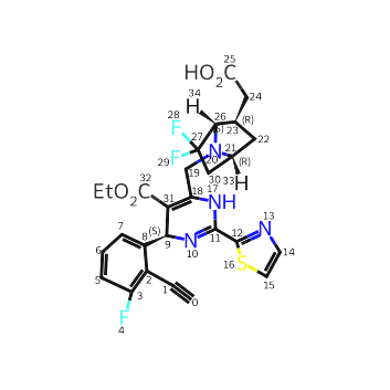 C#Cc1c(F)cccc1[C@@H]1N=C(c2nccs2)NC(CN2[C@@H]3C[C@H](CC(=O)O)[C@H]2C(F)(F)C3)=C1C(=O)OCC